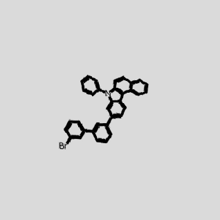 Brc1cccc(-c2cccc(-c3ccc4c5c6ccccc6ccc5n(-c5ccccc5)c4c3)c2)c1